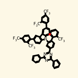 FC(F)(F)c1ccc(-c2ccc3c(c2)c2cc(-c4ccc(C(F)(F)F)cc4C(F)(F)F)ccc2n3-c2cc(-c3nc(-c4ccccc4)nc(-c4ccccc4)n3)ccc2-c2ccccc2C(F)(F)F)c(C(F)(F)F)c1